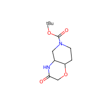 CC(C)(C)OC(=O)N1CCC2OCC(=O)NC2C1